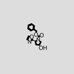 O=C(OCc1ccccc1)N1CC(O)C[C@H]1c1ncco1